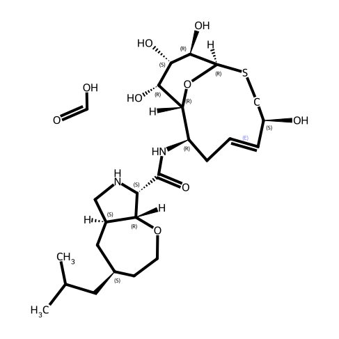 CC(C)C[C@@H]1CCO[C@@H]2[C@H](CN[C@@H]2C(=O)N[C@@H]2C/C=C/[C@H](O)CS[C@H]3O[C@H]2[C@H](O)[C@H](O)[C@H]3O)C1.O=CO